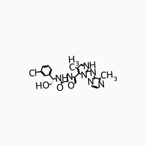 Cc1cnc(Nc2nccnc2C)nc1-c1coc(C(=O)N[C@H](CO)c2cccc(Cl)c2)n1